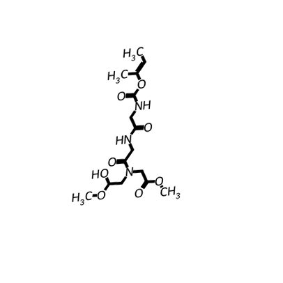 C/C=C(\C)OC(=O)NCC(=O)NCC(=O)N(CC(=O)OC)CC(O)OC